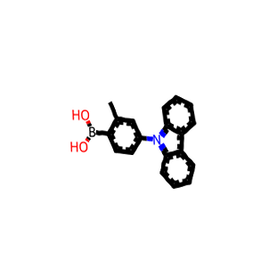 Cc1cc(-n2c3ccccc3c3ccccc32)ccc1B(O)O